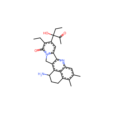 CCc1c(C(O)(CC)C(C)=O)cc2n(c1=O)Cc1c-2nc2cc(C)c(C)c3c2c1C(N)CC3